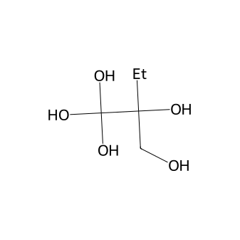 CCC(O)(CO)C(O)(O)O